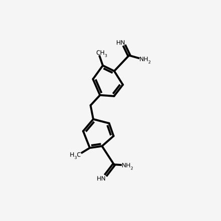 Cc1cc(Cc2ccc(C(=N)N)c(C)c2)ccc1C(=N)N